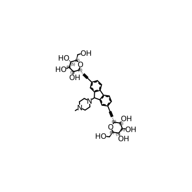 CN1CCN(C2c3cc(C#C[C@H]4O[C@H](CO)[C@@H](O)[C@H](O)[C@@H]4O)ccc3-c3ccc(C#C[C@H]4O[C@H](CO)[C@@H](O)[C@H](O)[C@@H]4O)cc32)CC1